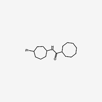 CC(C)C1CCCC(NC(=O)C2CCCCCCC2)CC1